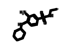 [CH2]CNS(=O)(=O)c1ccc(NC2CCCCC2)c(N)c1